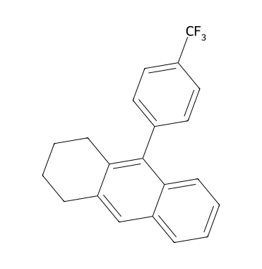 FC(F)(F)c1ccc(-c2c3c(cc4ccccc24)CCCC3)cc1